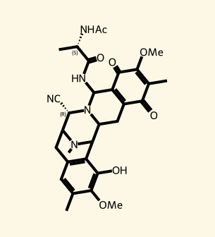 COC1=C(C)C(=O)C2=C(C1=O)C(NC(=O)[C@H](C)NC(C)=O)N1C(C2)C2c3c(cc(C)c(OC)c3O)CC([C@@H]1C#N)N2C